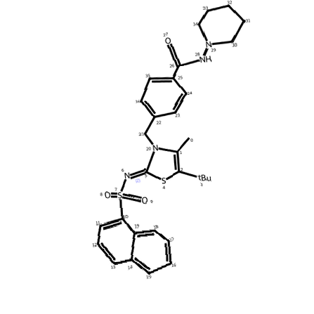 Cc1c(C(C)(C)C)s/c(=N\S(=O)(=O)c2cccc3ccccc23)n1Cc1ccc(C(=O)NN2CCCCC2)cc1